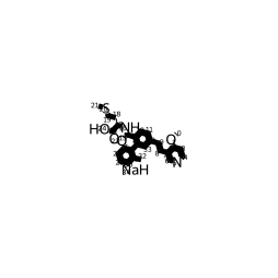 COc1ccncc1C=Cc1ccc(C(=O)N[C@@H](CCSC)C(=O)O)c(-c2ccccc2C)c1.[NaH]